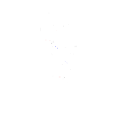 CCOC(=O)CN1CCN(C(=O)OC(C)(C)C)C2CC21